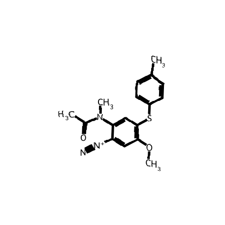 COc1cc([N+]#N)c(N(C)C(C)=O)cc1Sc1ccc(C)cc1